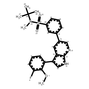 COc1c(F)cccc1-c1c[nH]c2ncc(-c3cccc(S(=O)(=O)N(C)C(C)(C)C)c3)cc12